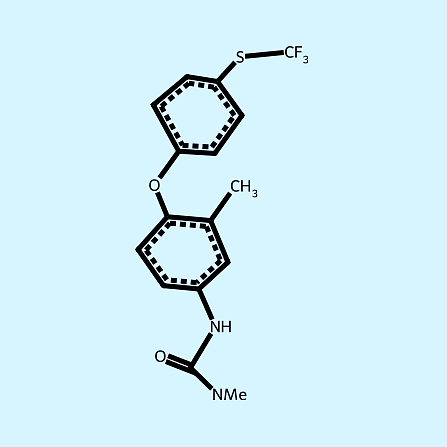 CNC(=O)Nc1ccc(Oc2ccc(SC(F)(F)F)cc2)c(C)c1